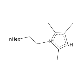 CCCCCCCC[n+]1c(C)[nH]c(C)c1C